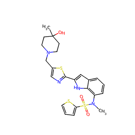 CN(c1cccc2cc(-c3ncc(CN4CCC(C)(O)CC4)s3)[nH]c12)S(=O)(=O)c1cccs1